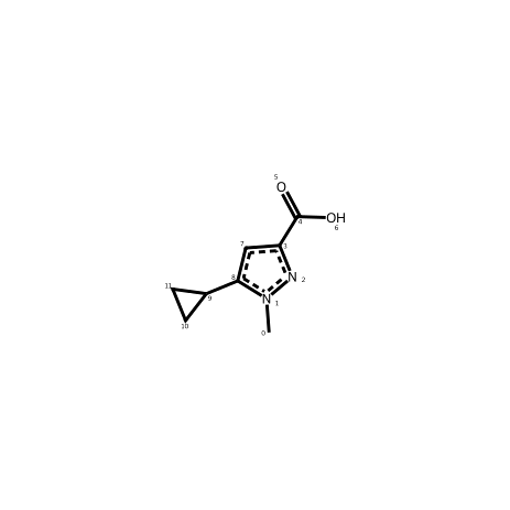 Cn1nc(C(=O)O)cc1C1CC1